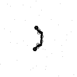 CC(C)(CCOCCCOCCC(C)(C)CC(=O)OCc1ccccc1)CC(=O)OCc1ccccc1